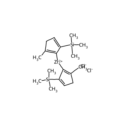 CC1=[C]([Zr+2][C]2=C(C)CC=C2[Si](C)(C)C)C([Si](C)(C)C)=CC1.[Cl-].[Cl-]